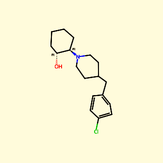 O[C@@H]1CCCC[C@H]1N1CCC(Cc2ccc(Cl)cc2)CC1